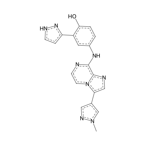 Cn1cc(-c2cnc3c(Nc4ccc(O)c(-c5cc[nH]n5)c4)nccn23)cn1